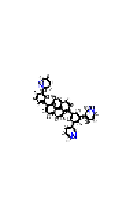 c1ccc(-c2cccc(-c3ccc4ccc5c(-c6cc(-c7cccnc7)cc(-c7cccnc7)c6)ccc6ccc3c4c65)c2)nc1